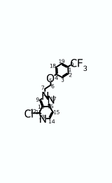 FC(F)(F)c1ccc(OCCn2cc3c(Cl)nccc3n2)cc1